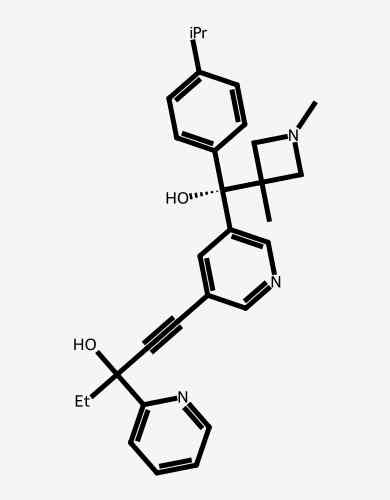 CCC(O)(C#Cc1cncc([C@@](O)(c2ccc(C(C)C)cc2)C2(C)CN(C)C2)c1)c1ccccn1